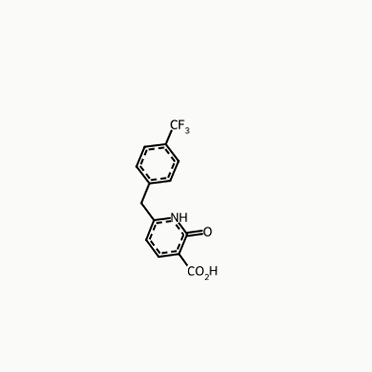 O=C(O)c1ccc(Cc2ccc(C(F)(F)F)cc2)[nH]c1=O